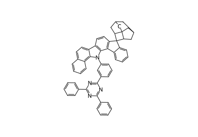 c1ccc(-c2nc(-c3ccccc3)nc(-c3cccc(-n4c5c6c(ccc5c5ccc7ccccc7c54)C4(c5ccccc5-6)C5CC6CC7CC4C5(C6)C7)c3)n2)cc1